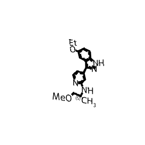 CCOc1ccc2[nH]nc(-c3ccnc(N[C@@H](C)COC)c3)c2c1